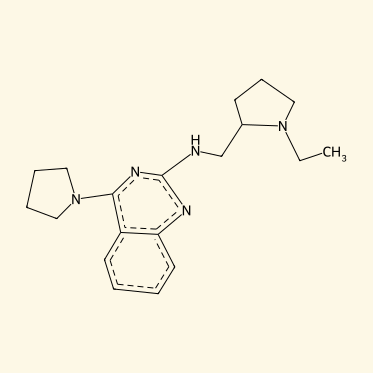 CCN1CCCC1CNc1nc(N2CCCC2)c2ccccc2n1